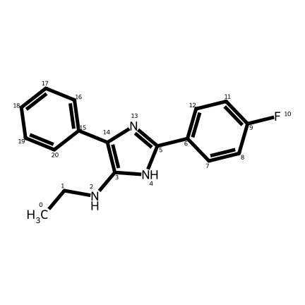 CCNc1[nH]c(-c2ccc(F)cc2)nc1-c1ccccc1